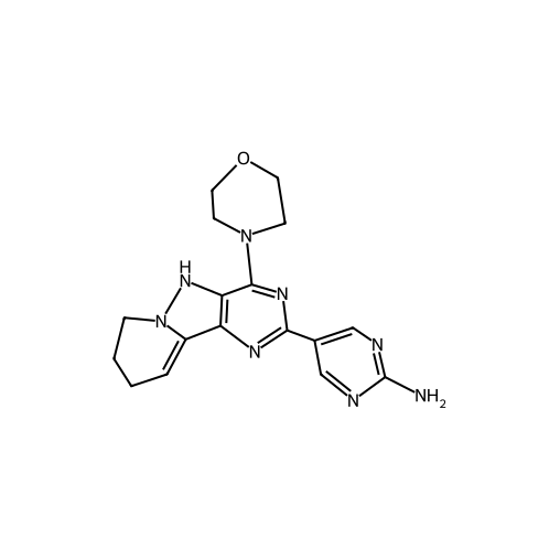 Nc1ncc(-c2nc3c(c(N4CCOCC4)n2)NN2CCCC=C32)cn1